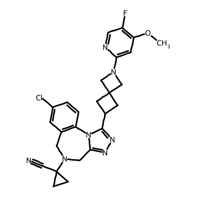 COc1cc(N2CC3(CC(c4nnc5n4-c4ccc(Cl)cc4CN(C4(C#N)CC4)C5)C3)C2)ncc1F